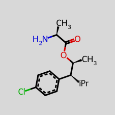 CC(C)[C@@H](c1ccc(Cl)cc1)[C@H](C)OC(=O)[C@H](C)N